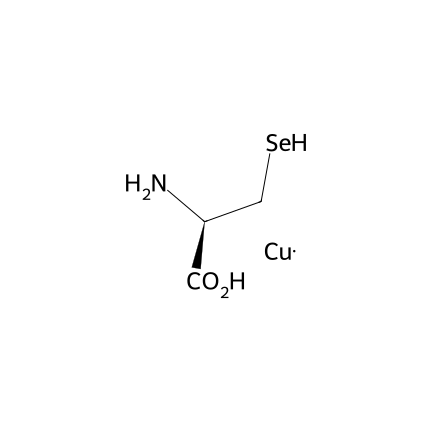 N[C@@H](C[SeH])C(=O)O.[Cu]